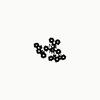 CC1(C)c2ccccc2-c2ccc3c4ccccc4n(-c4cccc(-c5nnc(-c6cccc(-n7c8ccccc8c8ccc9c(c87)C(C)(C)c7ccccc7-9)c6)c6nc(-c7ccccc7)c(-c7ccccc7)nc56)c4)c3c21